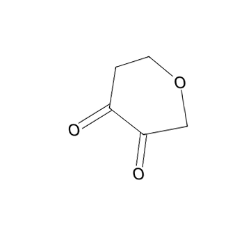 O=C1CCOCC1=O